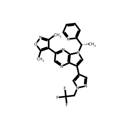 Cc1noc(C)c1-c1cnc2c(-c3cnn(CC(F)(F)F)c3)cn([C@@H](C)c3ccccn3)c2n1